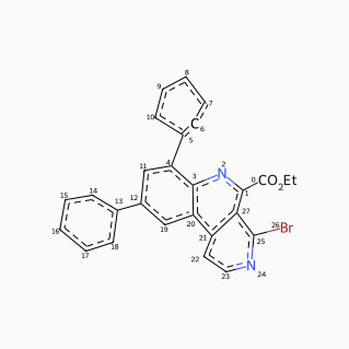 CCOC(=O)c1nc2c(-c3ccccc3)cc(-c3ccccc3)cc2c2ccnc(Br)c12